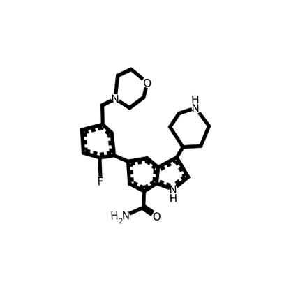 NC(=O)c1cc(-c2cc(CN3CCOCC3)ccc2F)cc2c(C3CCNCC3)c[nH]c12